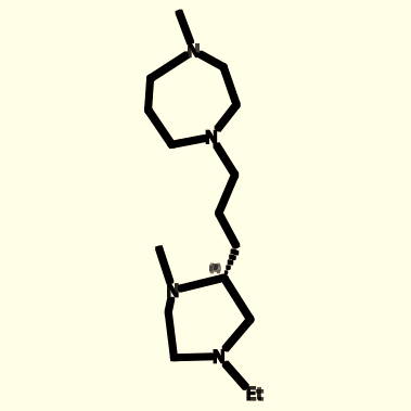 CCN1CCN(C)[C@H](CCCN2CCCN(C)CC2)C1